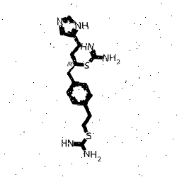 N=C(N)SCCc1ccc(C[C@@H](CCc2cnc[nH]2)SC(=N)N)cc1